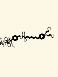 CC1(C)OB(c2ccc(CONC(=O)CCCCCCc3ccc(N(CCCl)CCCl)cc3)cc2)OC1(C)C